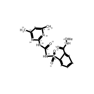 CONC(=O)c1ccccc1S(=O)(=O)NC(=O)Nc1nc(C)cc(C)n1